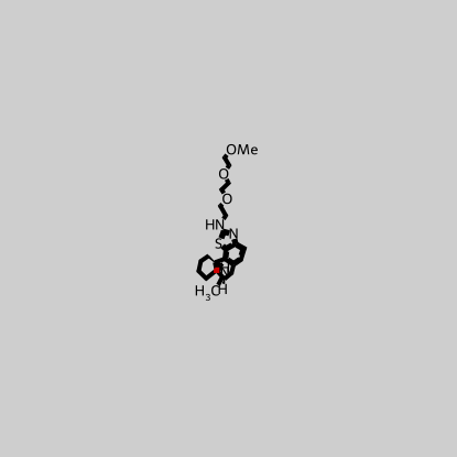 COCCOCCOCCNc1nc2ccc3c(c2s1)[C@@]12CCCC[C@H]1[C@@H](C3)N(C)CC2